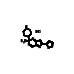 CC1(C2CCNCC2)N=CC2=NC(c3cccs3)=CC2=N1.Cl